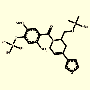 COc1cc(C(=O)N2CC=C(c3ccsc3)CC2CO[Si](C)(C)C(C)(C)C)c([N+](=O)[O-])cc1O[Si](C(C)C)(C(C)C)C(C)C